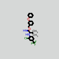 CC(C)C(Nc1ccc(C(F)(F)F)cc1Cl)C(=N)OCc1cccc(Oc2ccccc2)c1